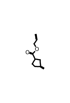 C=CCOC(=O)C1CCC(=C)C1